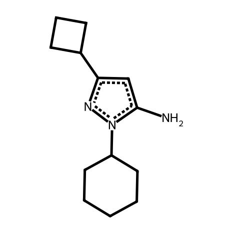 Nc1cc(C2CCC2)nn1C1CCCCC1